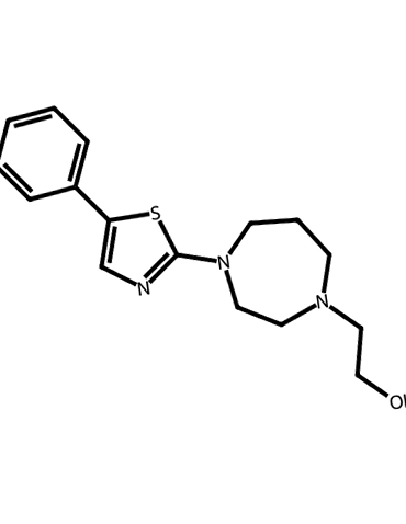 OCCN1CCCN(c2ncc(-c3ccccc3)s2)CC1